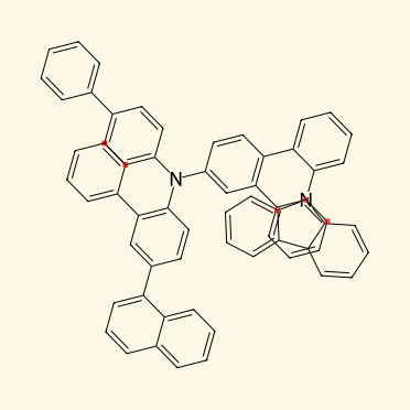 C1=CC2c3ccccc3N(c3ccccc3-c3ccc(N(c4ccc(-c5ccccc5)cc4)c4ccc(-c5cccc6ccccc56)cc4-c4ccccc4)cc3-c3ccccc3)C2C=C1